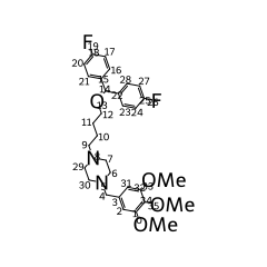 COc1cc(CN2CCN(CCCCOC(c3ccc(F)cc3)c3ccc(F)cc3)CC2)cc(OC)c1OC